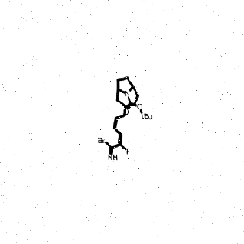 CC(C)(C)OC(=O)N1C2CCC(C/C=C\C=C(\F)C(=N)Br)CC1CC2